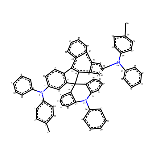 Cc1ccc(N(c2ccccc2)c2ccc3c(c2)C2(c4ccccc4N(c4ccccc4)c4ccccc42)c2c-3c3ccccc3c3cc(N(c4ccccc4)c4ccc(C)cc4)ccc23)cc1